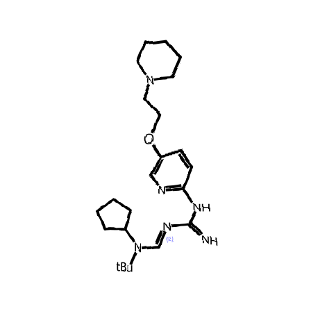 CC(C)(C)N(/C=N/C(=N)Nc1ccc(OCCN2CCCCC2)cn1)C1CCCC1